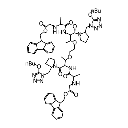 CCCCOc1nnnn1CC1CCCN1C(=O)C(NC(=O)C(C)NCC(=O)OCC1c2ccccc2-c2ccccc21)C(C)OCCOC(C)C(NC(=O)C(C)NCC(=O)OCC1c2ccccc2-c2ccccc21)C(=O)N1CCCC1Cn1nnnc1OCCCC